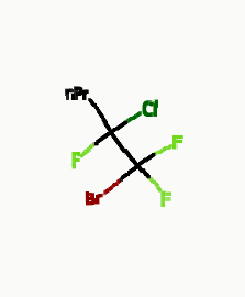 [CH2]CCC(F)(Cl)C(F)(F)Br